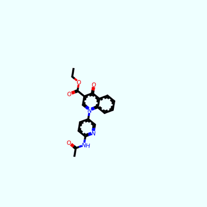 CCOC(=O)c1cn(-c2ccc(NC(C)=O)nc2)c2ccccc2c1=O